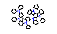 c1ccc(N(c2ccccc2)c2ccc3c(c2)N(c2ccccc2)c2cccc4c2B3c2ccc(-n3c5ccccc5c5c6c(c7ccccc7n6-c6ccccc6)c6c(c7ccccc7n6-c6ccccc6)c53)cc2N4c2ccccc2)cc1